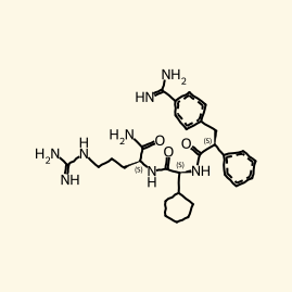 N=C(N)NCCC[C@H](NC(=O)[C@@H](NC(=O)[C@@H](Cc1ccc(C(=N)N)cc1)c1ccccc1)C1CCCCC1)C(N)=O